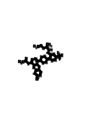 CNCC(=O)NC(Cc1ccc(Br)cc1)C(=O)N1CCN(c2ccc(C(F)(F)F)cc2CNC(C)COC)CC1